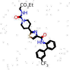 CCOC(=O)CNC(=O)N1CCC(c2nc(C(=O)Nc3ccccc3-c3cccc(C(F)(F)F)c3)cs2)CC1